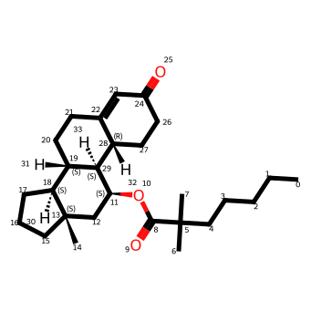 CCCCCC(C)(C)C(=O)O[C@H]1C[C@]2(C)CCC[C@H]2[C@@H]2CCC3=CC(=O)CC[C@@H]3[C@H]21